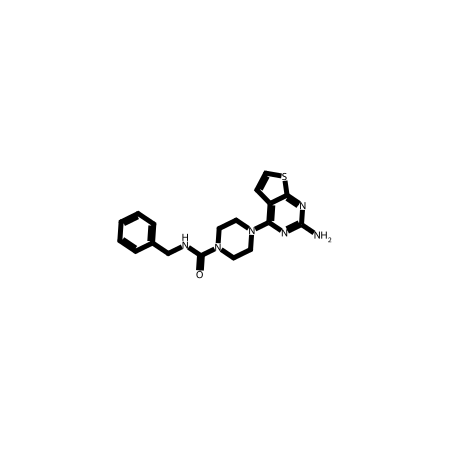 Nc1nc(N2CCN(C(=O)NCc3ccccc3)CC2)c2ccsc2n1